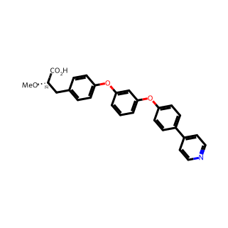 CO[C@@H](Cc1ccc(Oc2cccc(Oc3ccc(-c4ccncc4)cc3)c2)cc1)C(=O)O